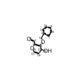 O=CC1=C(OCc2ccccc2)C(O)C=CO1